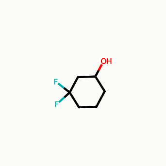 O[C]1CCCC(F)(F)C1